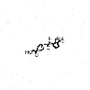 O=C(CN1CCN(C(=O)CO)CC1)Nc1cccc2c1CNC2=O